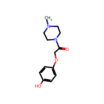 CN1CCN(C(=O)COc2ccc(O)cc2)CC1